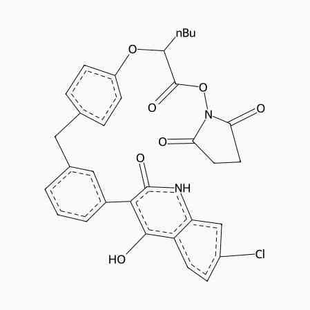 CCCCC(Oc1ccc(Cc2cccc(-c3c(O)c4ccc(Cl)cc4[nH]c3=O)c2)cc1)C(=O)ON1C(=O)CCC1=O